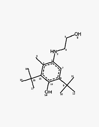 Cc1c(NCCO)cc(C(C)(C)C)c(O)c1C(C)(C)C